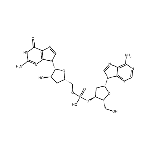 Nc1nc2c(ncn2[C@@H]2O[C@H](COP(=O)(O)O[C@H]3C[C@H](n4cnc5c(N)ncnc54)O[C@@H]3CO)C[C@H]2O)c(=O)[nH]1